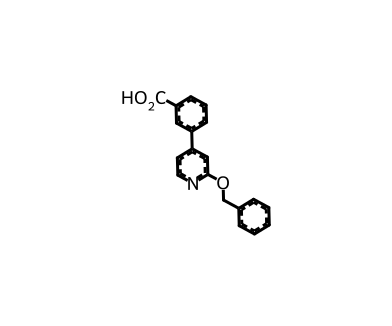 O=C(O)c1cccc(-c2ccnc(OCc3ccccc3)c2)c1